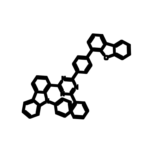 c1ccc(-c2nc(-c3ccc(-c4cccc5c4oc4ccccc45)cc3)nc(-c3cccc4c5ccccc5n(-c5ccccc5)c34)n2)cc1